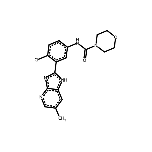 Cc1cnc2nc(-c3cc(NC(=O)N4CCOCC4)ccc3Cl)[nH]c2c1